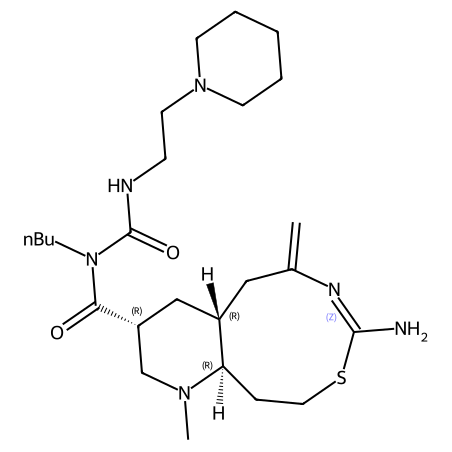 C=C1C[C@H]2C[C@@H](C(=O)N(CCCC)C(=O)NCCN3CCCCC3)CN(C)[C@@H]2CCS/C(N)=N\1